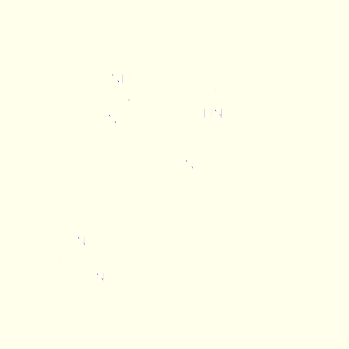 Cc1nc(-c2ccc3c(c2)CCN(CCC2(NC(=O)c4cccc(C5(C)N=CON5)c4)CCCCC2)CC3)no1